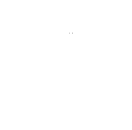 CC(O)C(C)COC(C)(C)C